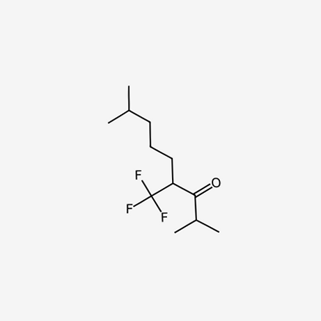 CC(C)CCCC(C(=O)C(C)C)C(F)(F)F